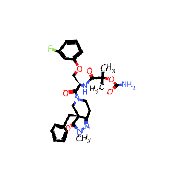 CN1N=C2CCN(C(=O)[C@@H](COc3cccc(F)c3)NC(=O)C(C)(C)OC(N)=O)C[C@@]2(Cc2ccccc2)C1=O